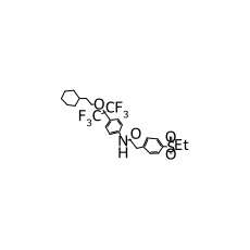 CCS(=O)(=O)c1ccc(CC(=O)Nc2ccc(C(OCCC3CCCCC3)(C(F)(F)F)C(F)(F)F)cc2)cc1